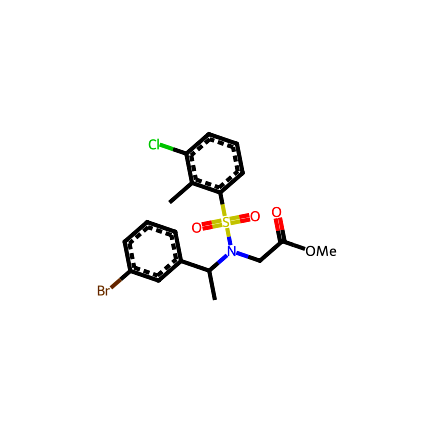 COC(=O)CN(C(C)c1cccc(Br)c1)S(=O)(=O)c1cccc(Cl)c1C